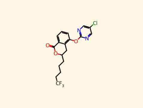 O=C1OC(CCCCC(F)(F)F)Cc2c(Oc3ncc(Cl)cn3)cccc21